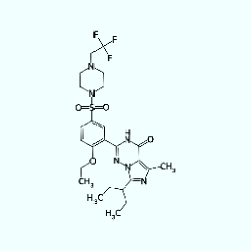 CCOc1ccc(S(=O)(=O)N2CCN(CC(F)(F)F)CC2)cc1-c1nn2c(C(CC)CC)nc(C)c2c(=O)[nH]1